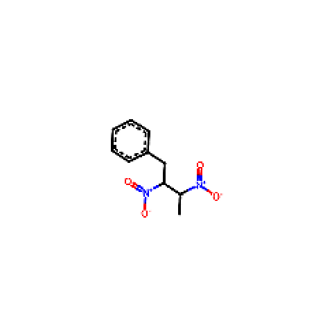 CC(C(Cc1ccccc1)[N+](=O)[O-])[N+](=O)[O-]